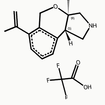 C=C(C)c1cccc2c1CO[C@@]1(C)CNC[C@H]21.O=C(O)C(F)(F)F